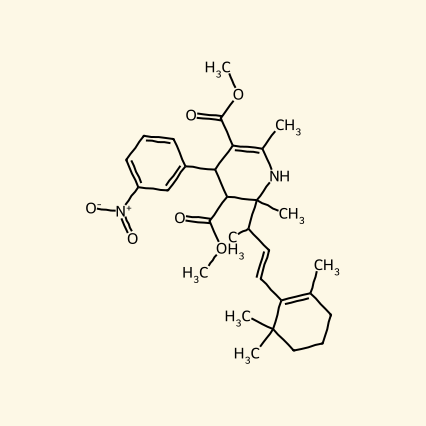 COC(=O)C1=C(C)NC(C)(C(C)C=CC2=C(C)CCCC2(C)C)C(C(=O)OC)C1c1cccc([N+](=O)[O-])c1